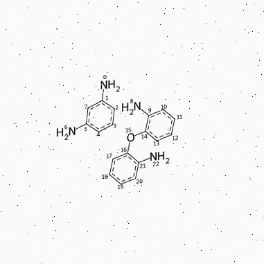 Nc1cccc(N)c1.Nc1ccccc1Oc1ccccc1N